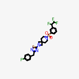 O=S(=O)(c1cccc(C(F)C(F)F)c1)N1CCC2(CC1)CN(c1nc(Cc3ccc(F)cc3)ns1)C2